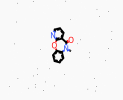 CN1C(=O)c2cccnc2Oc2ccccc21